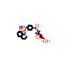 O=C(c1ccc(NS(=O)(=O)c2cccc3cccnc23)cc1)N1CC(O)(CCCO)C1